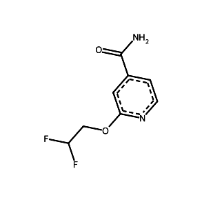 NC(=O)c1ccnc(OCC(F)F)c1